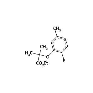 CCOC(=O)C(C)(C)Oc1cc(C)ccc1F